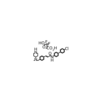 CC(=O)O.CN(Cc1ccc(/C=C/C(=O)Nc2ccc(-c3ccc(Cl)cc3)cc2)cc1)C1CCNCC1.O=C(O)C(F)(F)F